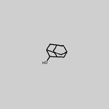 O[C]1C2CC3CC(C2)CC1C3